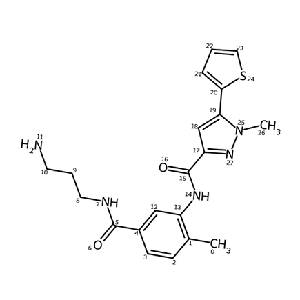 Cc1ccc(C(=O)NCCCN)cc1NC(=O)c1cc(-c2cccs2)n(C)n1